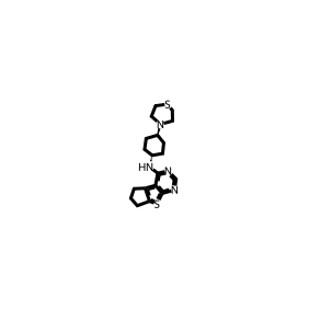 c1nc(N[C@H]2CC[C@H](N3CCSCC3)CC2)c2c3c(sc2n1)CCC3